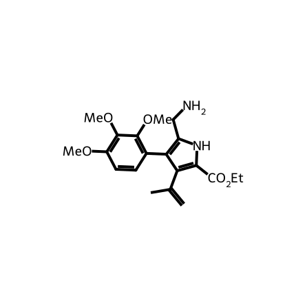 C=C(C)c1c(C(=O)OCC)[nH]c(CN)c1-c1ccc(OC)c(OC)c1OC